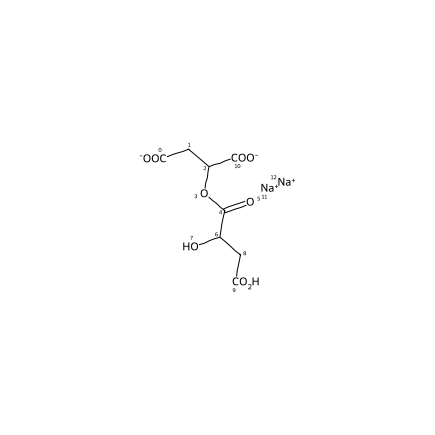 O=C([O-])CC(OC(=O)C(O)CC(=O)O)C(=O)[O-].[Na+].[Na+]